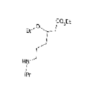 CCOC(=O)CC(CCCNC(C)C)OCC